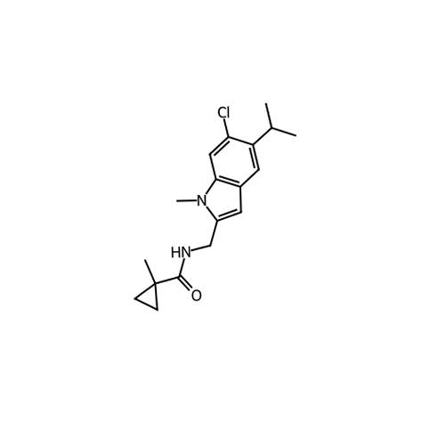 CC(C)c1cc2cc(CNC(=O)C3(C)CC3)n(C)c2cc1Cl